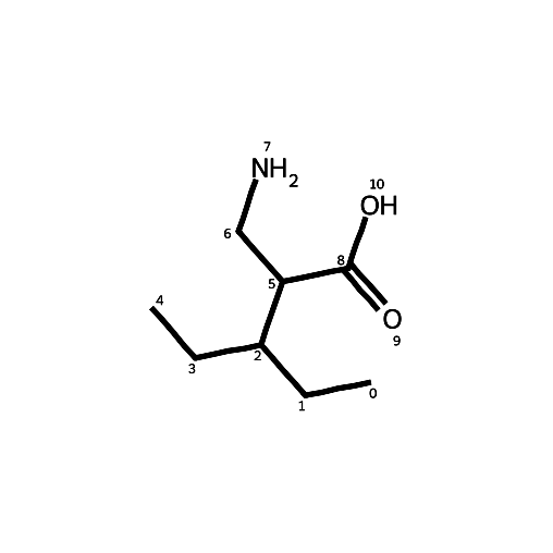 CCC(CC)C(CN)C(=O)O